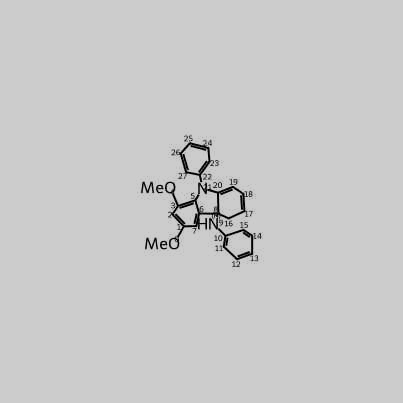 COc1cc(OC)c2c(c1)[C@]1(Nc3ccccc3)CC=CC=C1N2c1ccccc1